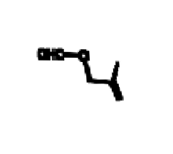 C=C(C)COC=O